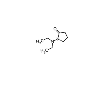 CCN(CC)N1CCCC1=O